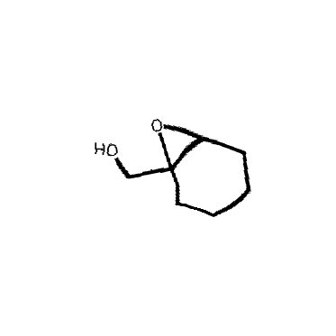 OCC12CCCCC1O2